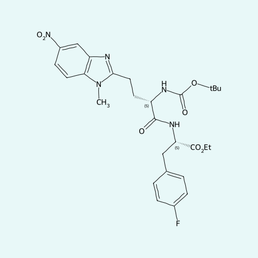 CCOC(=O)[C@H](Cc1ccc(F)cc1)NC(=O)[C@H](CCc1nc2cc([N+](=O)[O-])ccc2n1C)NC(=O)OC(C)(C)C